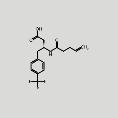 C=CCCC(=O)N[C@H](CC(=O)O)Cc1ccc(C(F)(F)F)cc1